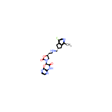 Cc1ncc(F)c2c1C[C@H](CNCC[C@H]1CN(C3Oc4nccnc4NC3=O)C(=O)O1)C2